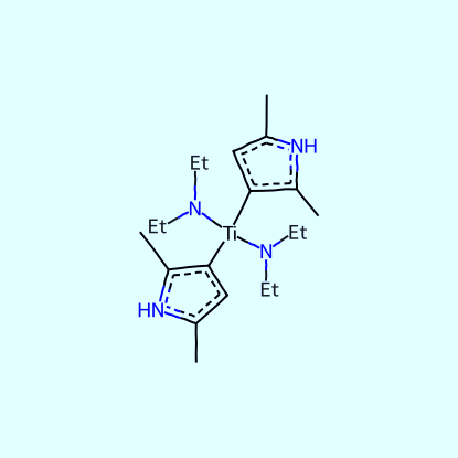 CC[N](CC)[Ti]([c]1cc(C)[nH]c1C)([c]1cc(C)[nH]c1C)[N](CC)CC